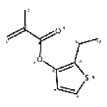 C=C(C)C(=O)Oc1ccsc1CC